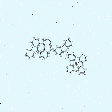 c1ccc([Si](c2ccccc2)(c2ccccc2)c2ccc(-n3c4ccccc4c4cc(-n5c6ccccc6c6c(-n7c8ccccc8c8cnccc87)cccc65)ccc43)cc2)cc1